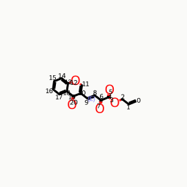 C=CCOC(=O)C(=O)/C=C/c1coc2ccccc2c1=O